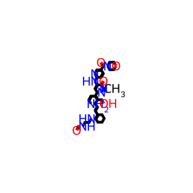 Cn1nc(C(/C=C\N)=C(\CO)C/C=C/C2=C(NCCNC=O)CCCC2)cc(Nc2ccc(C(=O)N3CCOCC3)cn2)c1=O